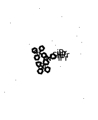 CC(C)[Si](c1ccc(-n2c3ccc([Si](c4ccccc4)(c4ccccc4)c4ccccc4)cc3c3cc([Si](c4ccccc4)(c4ccccc4)c4ccccc4)ccc32)cc1)(C(C)C)C(C)C